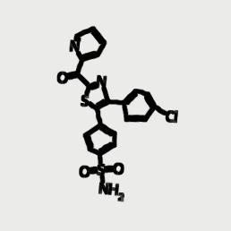 NS(=O)(=O)c1ccc(-c2sc(C(=O)c3ccccn3)nc2-c2ccc(Cl)cc2)cc1